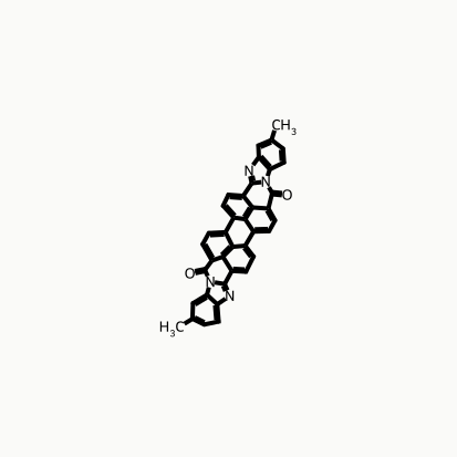 Cc1ccc2c(c1)nc1c3ccc4c5ccc6c(=O)n7c8cc(C)ccc8nc7c7ccc(c8ccc(c(=O)n21)c3c48)c5c67